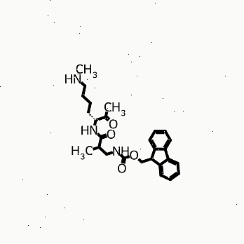 CNCCCC[C@@H](NC(=O)C(C)CNC(=O)OCC1c2ccccc2-c2ccccc21)C(C)=O